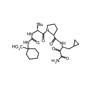 CC(C)(C)[C@H](NC(=O)NC1(C(=O)O)CCCCC1)C(=O)N1CCC[C@H]1C(=O)NC(CC1CC1)C(=O)C(N)=O